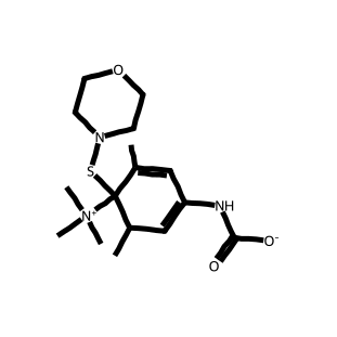 CC1=CC(NC(=O)[O-])=CC(C)C1(SN1CCOCC1)[N+](C)(C)C